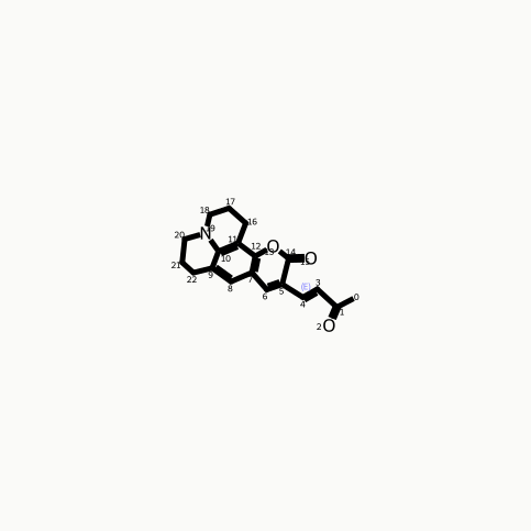 CC(=O)/C=C/c1cc2cc3c4c(c2oc1=O)CCCN4CCC3